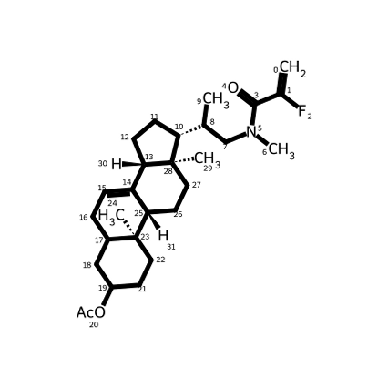 C=C(F)C(=O)N(C)CC(C)[C@H]1CC[C@H]2C3=CCC4CC(OC(C)=O)CC[C@]4(C)[C@H]3CC[C@]12C